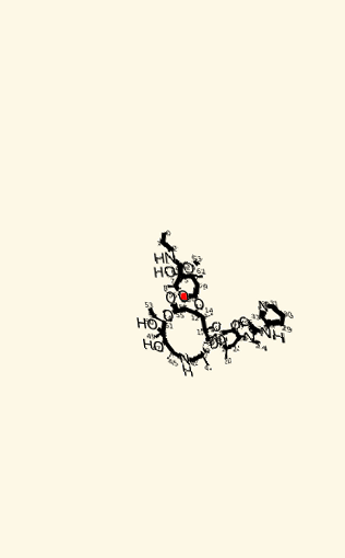 CCCNC[C@]1(O)[C@H](C)O[C@@H](O[C@H]2[C@H](C)[C@@H](O[C@@H]3O[C@H](C)C[C@H](N(C)C(=O)Nc4cccnc4)[C@H]3O)[C@](C)(O)C[C@@H](C)CN[C@H](C)[C@@H](O)[C@](C)(O)[C@@H](CC)OC(=O)[C@@H]2C)C[C@@]1(C)OC